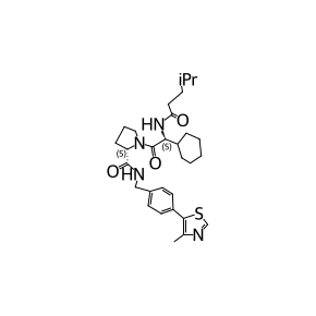 Cc1ncsc1-c1ccc(CNC(=O)[C@@H]2CCCN2C(=O)[C@@H](NC(=O)CCC(C)C)C2CCCCC2)cc1